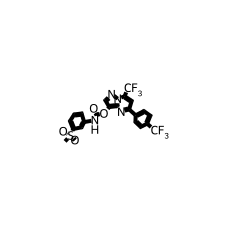 CS(=O)(=O)c1cccc(NC(=O)Oc2cnn3c(C(F)(F)F)cc(-c4ccc(C(F)(F)F)cc4)nc23)c1